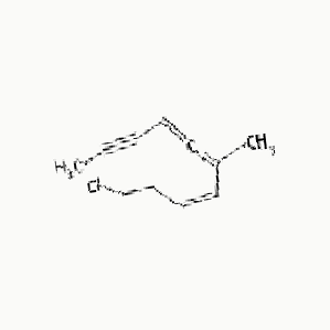 CC#CC=C=C(C)/C=C\CCCl